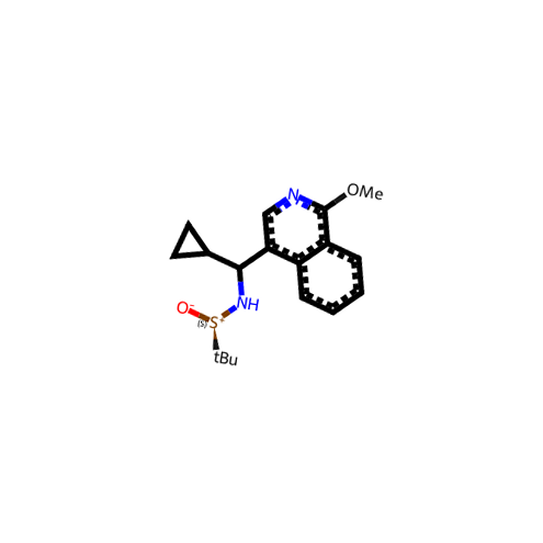 COc1ncc(C(N[S@+]([O-])C(C)(C)C)C2CC2)c2ccccc12